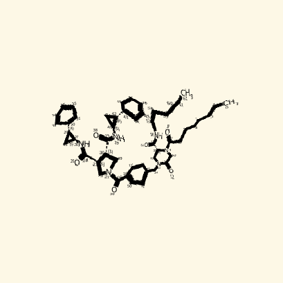 CCCCCCCC(=O)N1CC(=O)N(Cc2ccc(C(=O)N3C[C@@H](C(=O)N[C@H]4C[C@@H]4c4ccccc4)[C@H](C(=O)N[C@H]4C[C@@H]4c4ccccc4)C3)cc2)C[C@@H]1C(=O)NCCCCCC